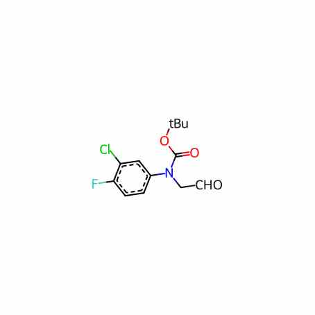 CC(C)(C)OC(=O)N(CC=O)c1ccc(F)c(Cl)c1